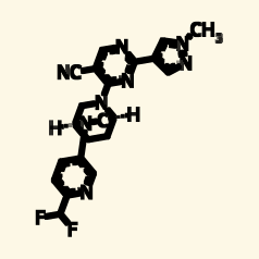 Cn1cc(-c2ncc(C#N)c(N3C[C@@H]4CC[C@H]3CN4c3ccc(C(F)F)nc3)n2)cn1